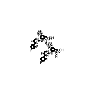 C[SH](O)(Cc1cc(Nc2ncc(F)c(-c3ccc(F)cc3F)n2)cc(S(F)(F)(F)(F)F)c1)=NC#N.C[SH](O)(Cc1cc(Nc2ncc(F)c(-c3ccc(F)cc3F)n2)cc(S(F)(F)(F)(F)F)c1)=NC#N